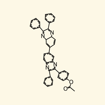 CC(=O)Oc1ccc(-c2nc3cc(C4=CC5N=C(c6ccccc6)C(c6ccccc6)=NC5C=C4)ccc3nc2-c2ccccc2)cc1